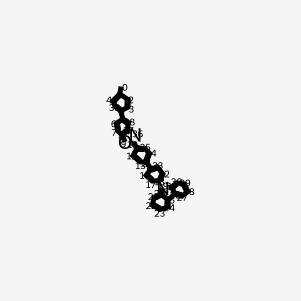 Cc1ccc(-c2ccc3oc(-c4ccc(-c5ccc(-n6c7ccccc7c7ccccc76)cc5)cc4)nc3c2)cc1